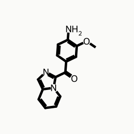 COc1cc(C(=O)c2ncc3ccccn23)ccc1N